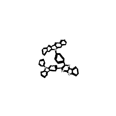 c1ccc(-n2c3ccccc3c3cc(-c4nc5oc6ccccc6c5nc4-c4ccc(-n5c6cc7ccccc7cc6c6cc7ccccc7cc65)cc4)ccc32)cc1